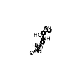 COCCn1cnnc1C(C)NC(=O)c1ccc2[nH]c(-c3cc(-c4cccnc4OC)ccc3O)nc2c1